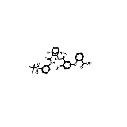 COc1ccc(Oc2ccccc2C(=O)O)cc1C(=O)N[C@H]1[C@@H](C(=O)Nc2cccc(S(=O)(=O)C(C)(F)F)c2)[C@@H]2C=C[C@H]1C2